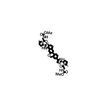 COC(=O)NCC(=O)N1[C@@H](C)CC[C@H]1c1ncc(-c2ccc3c(c2)COc2cc4c(ccc5nc([C@@H]6CC[C@H](C)N6C(=O)CNC(=O)OC)[nH]c54)cc2-3)[nH]1